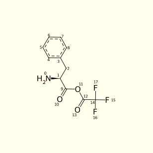 N[C@@H](Cc1ccccc1)C(=O)OC(=O)C(F)(F)F